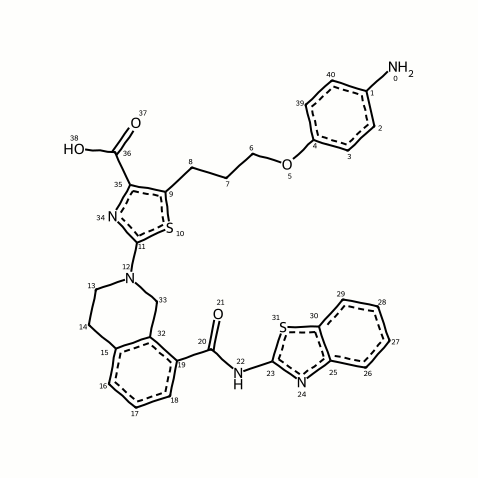 Nc1ccc(OCCCc2sc(N3CCc4cccc(C(=O)Nc5nc6ccccc6s5)c4C3)nc2C(=O)O)cc1